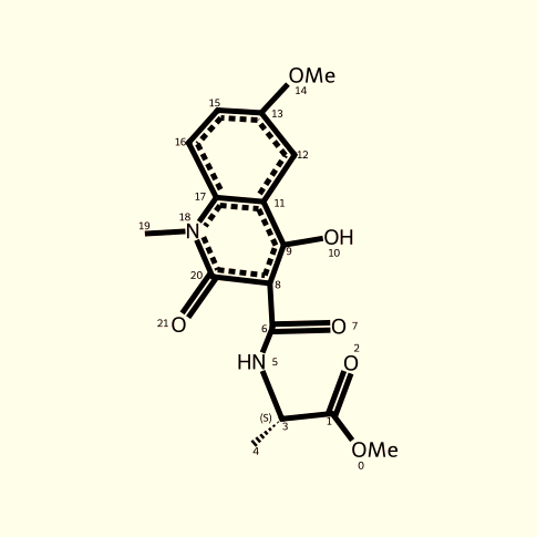 COC(=O)[C@H](C)NC(=O)c1c(O)c2cc(OC)ccc2n(C)c1=O